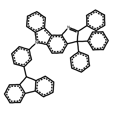 c1ccc(C2=Nc3c(ccc4c3c3ccccc3n4-c3cccc(C4c5ccccc5-c5ccccc54)c3)C2(c2ccccc2)c2ccccc2)cc1